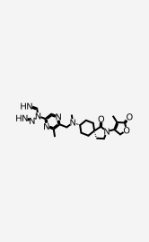 CC1=C(N2CC[C@]3(CC[C@@H](N(C)Cc4ncc(N(C=N)N=N)nc4C)CC3)C2=O)COC1=O